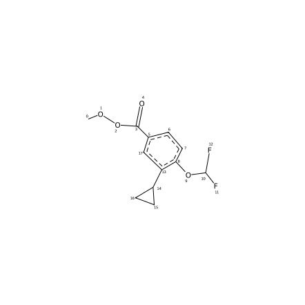 COOC(=O)c1ccc(OC(F)F)c(C2CC2)c1